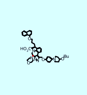 CCC(C)OC1CCN(c2ccc(OCc3c(-c4cccc5c(CCCOc6cccc7ccccc67)c(C(=O)O)n(CCN6CCOCC6)c45)c(C)nn3C)cc2)CC1